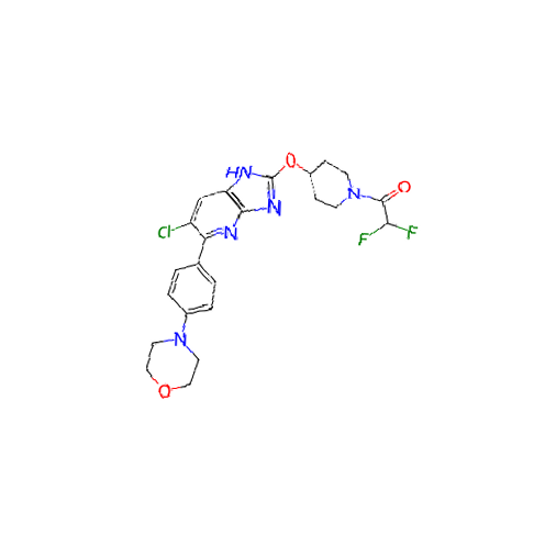 O=C(C(F)F)N1CCC(Oc2nc3nc(-c4ccc(N5CCOCC5)cc4)c(Cl)cc3[nH]2)CC1